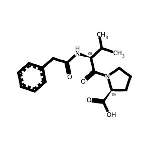 CC(C)[C@H](NC(=O)Cc1ccccc1)C(=O)N1CCC[C@H]1C(=O)O